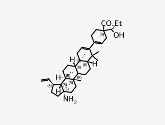 C=C[C@@H]1CC[C@]2(N)CC[C@]3(C)[C@H](CC[C@@H]4[C@@]5(C)CC=C(C6=CC[C@](CO)(C(=O)OCC)CC6)C(C)(C)[C@@H]5CC[C@]43C)[C@@H]12